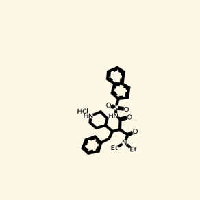 CCN(CC)C(=O)C(C(=O)NS(=O)(=O)c1ccc2ccccc2c1)C(Cc1ccccc1)C1CCNCC1.Cl